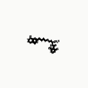 O=C(N[C@@H](CCOCCCCc1ccc2c(n1)NCCC2)C(=O)O)c1c(Cl)cncc1Cl